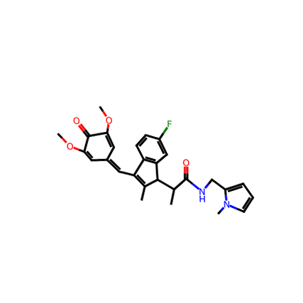 COC1=CC(=CC2=C(C)C(C(C)C(=O)NCc3cccn3C)c3cc(F)ccc32)C=C(OC)C1=O